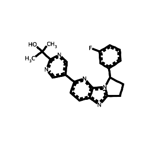 CC(C)(O)c1ncc(-c2ccc3nc4n(c3n2)C(c2cccc(F)c2)CC4)cn1